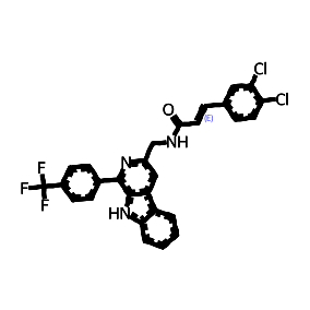 O=C(/C=C/c1ccc(Cl)c(Cl)c1)NCc1cc2c([nH]c3ccccc32)c(-c2ccc(C(F)(F)F)cc2)n1